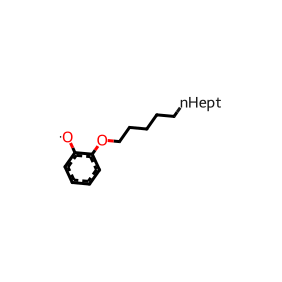 CCCCCCCCCCCCOc1ccccc1[O]